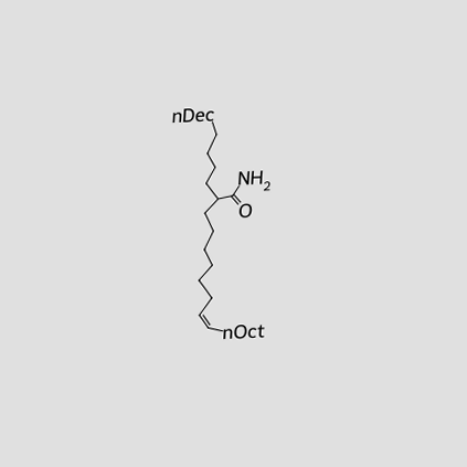 CCCCCCCC/C=C\CCCCCCC(CCCCCCCCCCCCCC)C(N)=O